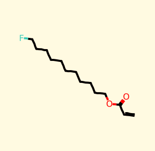 C=CC(=O)OCCCCCCCCCCCF